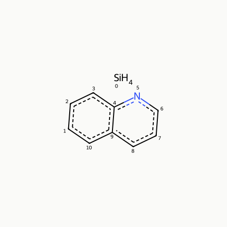 [SiH4].c1ccc2ncccc2c1